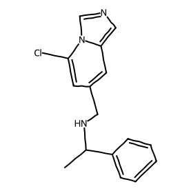 CC(NCc1cc(Cl)n2cncc2c1)c1ccccc1